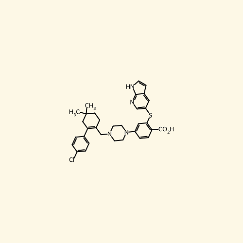 CC1(C)CCC(CN2CCN(c3ccc(C(=O)O)c(Sc4cnc5[nH]ccc5c4)c3)CC2)=C(c2ccc(Cl)cc2)C1